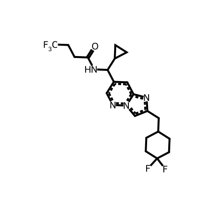 O=C(CCC(F)(F)F)NC(c1cnn2cc(CC3CCC(F)(F)CC3)nc2c1)C1CC1